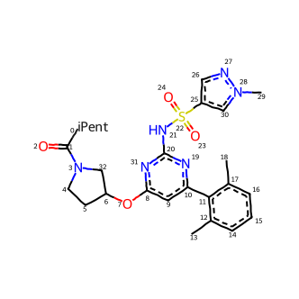 CCCC(C)C(=O)N1CCC(Oc2cc(-c3c(C)cccc3C)nc(NS(=O)(=O)c3cnn(C)c3)n2)C1